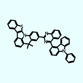 CC1(C)c2cc(-c3nc(-c4cccc5c4c4ccccc4n5-c4ccccc4)c4ccccc4n3)ccc2-n2c3sc4ccccc4c3c3cccc1c32